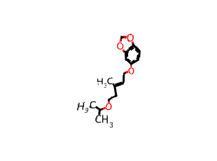 C/C(=C\COc1ccc2c(c1)OCO2)CCOC(C)C